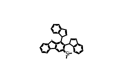 C[Si](C)=c1cc2c(c(C3C=Cc4ccccc43)c1C1C=Cc3ccccc31)=[C]c1ccccc1-2